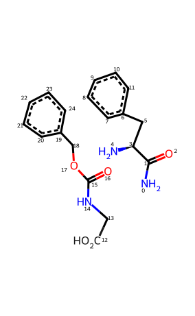 NC(=O)[C@@H](N)Cc1ccccc1.O=C(O)CNC(=O)OCc1ccccc1